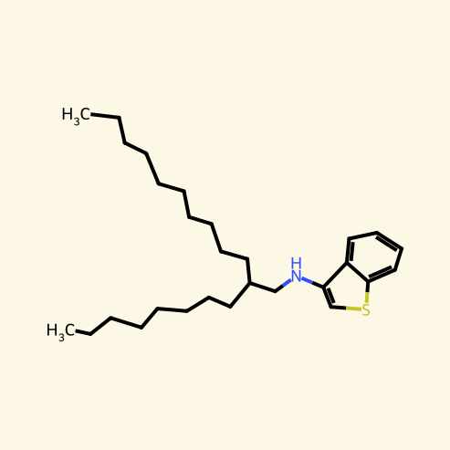 CCCCCCCCCCC(CCCCCCCC)CNc1csc2ccccc12